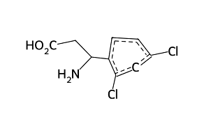 NC(CC(=O)O)c1ccc(Cl)cc1Cl